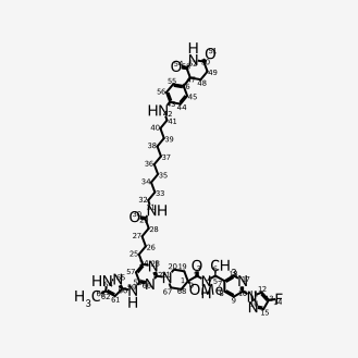 COC1(C(=O)N[C@@H](C)c2ccc(-n3cc(F)cn3)nc2)CCN(c2nc(CCCCC(=O)NCCCCCCCCCCNc3ccc(C4CCC(=O)NC4=O)cc3)cc(Nc3cc(C)[nH]n3)n2)CC1